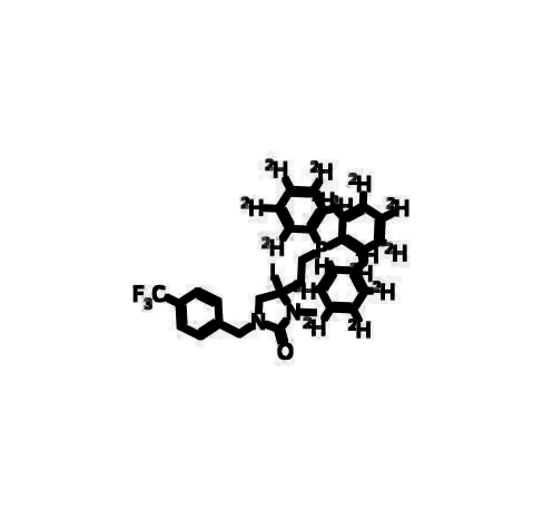 [2H]c1c([2H])c([2H])c([PH](CCC2(I)CN(Cc3ccc(C(F)(F)F)cc3)C(=O)N2C)(c2c([2H])c([2H])c([2H])c([2H])c2[2H])c2c([2H])c([2H])c([2H])c([2H])c2[2H])c([2H])c1[2H]